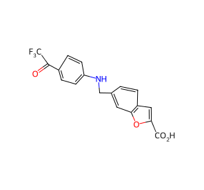 O=C(O)c1cc2ccc(CNc3ccc(C(=O)C(F)(F)F)cc3)cc2o1